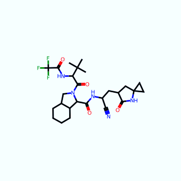 CC(C)(C)C(NC(=O)C(F)(F)F)C(=O)N1CC2CCCCC2C1C(=O)NC(C#N)CC1CC2(CC2)NC1=O